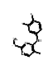 Cc1cnc(NC(C)(C)C)nc1Nc1ccc(Cl)c(F)c1